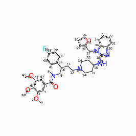 COc1cc(C(=O)N(C)CC(CCN2CCC(Nc3nc4ccccc4n3Cc3ccco3)CC2)c2ccc(F)cc2)cc(OC)c1OC